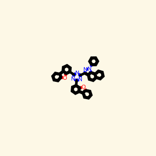 c1ccc(-n2nc(-c3nc(-c4cccc5c4oc4ccccc45)nc(-c4cccc5c4oc4ccccc45)n3)c3ccc4ccccc4c32)cc1